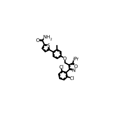 Cc1cc(OCc2c(-c3c(Cl)cccc3Cl)noc2C(C)C)ccc1-c1ccc(C(N)=O)s1